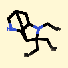 CC(C)CN1C2CC3CNC2C(C3)C1(CC(C)C)CC(C)C